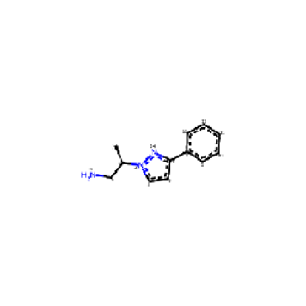 C[C@H](CN)n1ccc(-c2ccccc2)n1